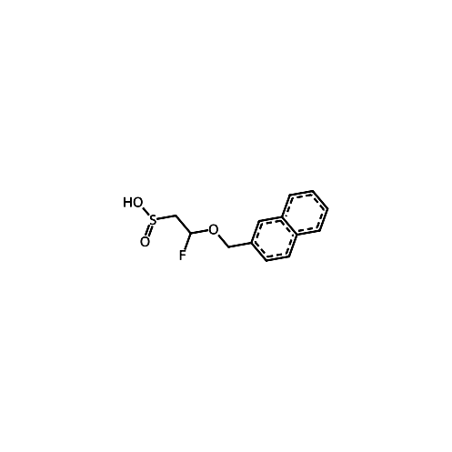 O=S(O)CC(F)OCc1ccc2ccccc2c1